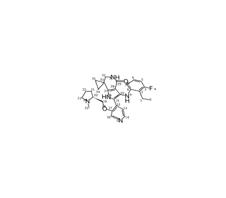 CCc1c(F)cccc1Nc1c(-c2ccncc2OC[C@@H]2CCCN2C)[nH]c2c1C(=O)NCC21CC1